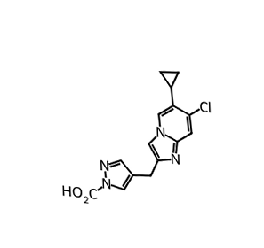 O=C(O)n1cc(Cc2cn3cc(C4CC4)c(Cl)cc3n2)cn1